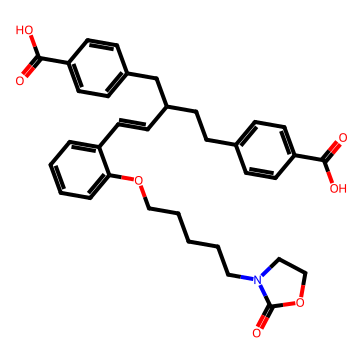 O=C(O)c1ccc(CCC(C=Cc2ccccc2OCCCCCN2CCOC2=O)Cc2ccc(C(=O)O)cc2)cc1